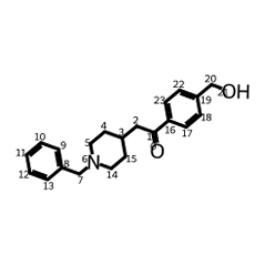 O=C(CC1CCN(Cc2ccccc2)CC1)c1ccc(CO)cc1